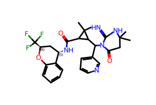 CC1(C)CC(=O)N(C(c2cccnc2)C2C(C(=O)N[C@H]3C[C@H](C(F)(F)F)Oc4ccccc43)C2(C)C)C(=N)N1